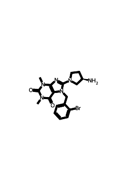 Cn1c(=O)c2c(nc(N3CC[C@@H](N)C3)n2Cc2ccccc2Br)n(C)c1=O